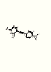 CN(C)c1ccc(C#Cc2ccc(F)cc2F)cc1